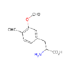 NC(Cc1ccc(C=O)c(OC=O)c1)C(=O)O